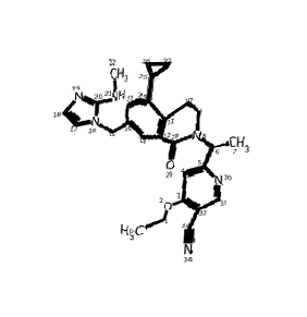 CCOc1cc([C@H](C)N2CCc3c(cc(Cn4ccnc4NC)cc3C3CC3)C2=O)ncc1C#N